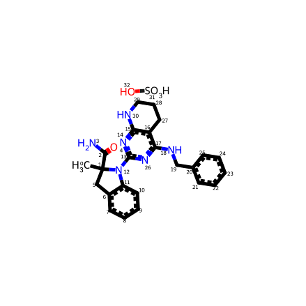 CC1(C(N)=O)Cc2ccccc2N1c1nc2c(c(NCc3ccccc3)n1)CCCN2.O=S(=O)(O)O